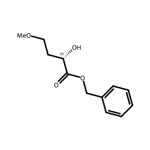 COCC[C@H](O)C(=O)OCc1ccccc1